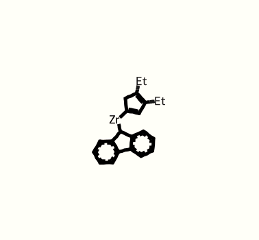 CCC1=C(CC)C[C]([Zr][CH]2c3ccccc3-c3ccccc32)=C1